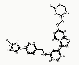 CN1CCO[C@@H](COc2ccn3c(-c4cc(NCc5ccc(-c6cnn(C)n6)cc5)ncn4)cnc3c2)C1